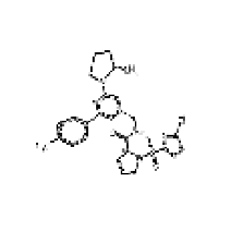 Cc1ccc(-c2cc(CNC(=O)[C@@H]3C=CCN3S(=O)(=O)c3ccc(Cl)s3)cc(N3CCCC3C)n2)cc1